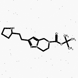 CC(C)(C)OC(=O)N1CCn2nc(CCC3CCCN3)cc2C1